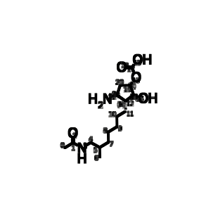 CC(=O)NCC(C)CCCCC[C@H]1[C@@H](O)[C@H](OC(=O)O)C[C@H]1N